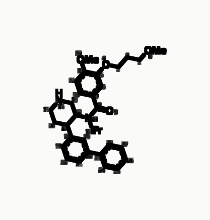 COCCCOc1cc(C(=O)N(C(C)C)C2CNCCC2c2cccc(-c3ccccc3)c2)ccc1OC